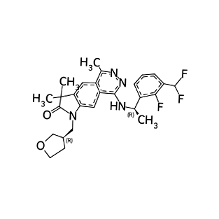 Cc1nnc(N[C@H](C)c2cccc(C(F)F)c2F)c2cc3c(cc12)C(C)(C)C(=O)N3C[C@H]1CCOC1